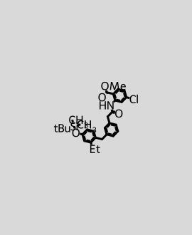 CCc1cc(O[Si](C)(C)C(C)(C)C)ccc1Cc1cccc(CC(=O)Nc2cc(Cl)ccc2C(=O)OC)c1